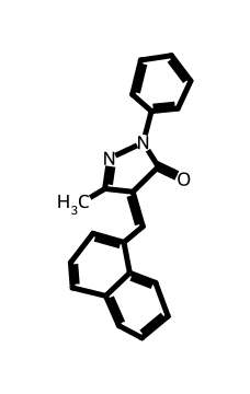 CC1=NN(c2ccccc2)C(=O)/C1=C/c1cccc2ccccc12